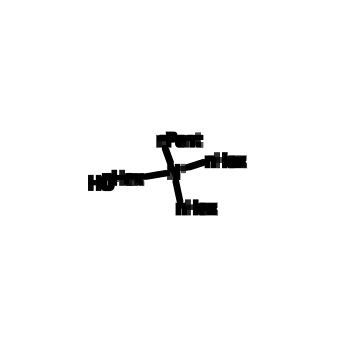 CCCCCC[N+](CCCCC)(CCCCCC)CCCCCC.[OH-]